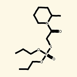 CCCOP(=O)(OCCC)SCC(=O)N1CCCCC1C